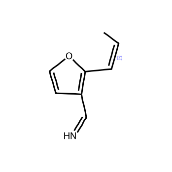 C/C=C\c1occc1C=N